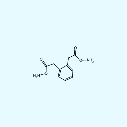 NOC(=O)Cc1ccccc1CC(=O)ON